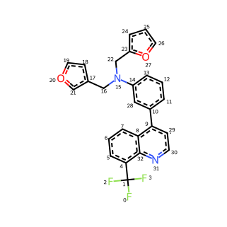 FC(F)(F)c1cccc2c(-c3cccc(N(Cc4ccoc4)Cc4ccco4)c3)[c]cnc12